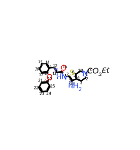 CCOC(=O)N1CCc2c(sc(NC(=O)/C=C/c3ccccc3Oc3ccccc3)c2N)C1